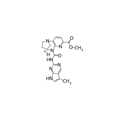 COC(=O)c1ccc2c(n1)N(C(=O)Nc1ncc3c(C)c[nH]c3n1)[C@H]1CCN2C1